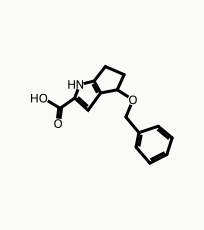 O=C(O)c1cc2c([nH]1)CCC2OCc1ccccc1